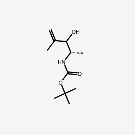 C=C(C)C(O)[C@H](C)NC(=O)OC(C)(C)C